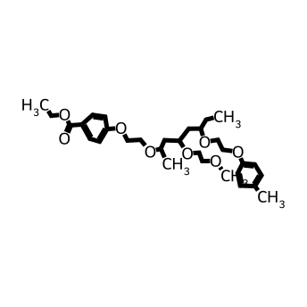 CCOC(=O)c1ccc(OCCOC(C)CC(CC(CC)OCCOc2ccc(C)cc2)OCCOC)cc1